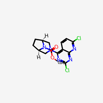 CC(C)(C)OC(=O)N1[C@@H]2CC[C@H]1CN(c1nc(Cl)nc3nc(Cl)ccc13)C2